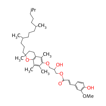 COc1cc(/C=C/C(=O)OCC(O)COc2c(C)c(C)c3c(c2C)CCC(C)(CCCC(C)CCCC(C)CCCC(C)C)O3)ccc1O